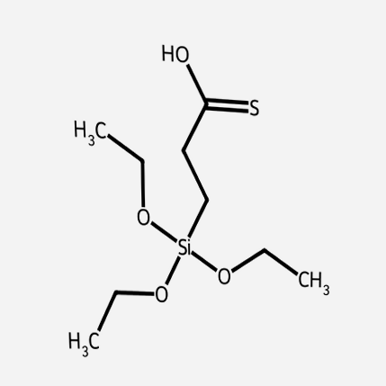 CCO[Si](CCC(O)=S)(OCC)OCC